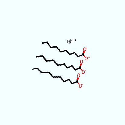 CCCCCCCCCC(=O)[O-].CCCCCCCCCC(=O)[O-].CCCCCCCCCC(=O)[O-].[Rh+3]